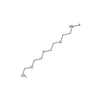 CCOCCOCCOCCNF